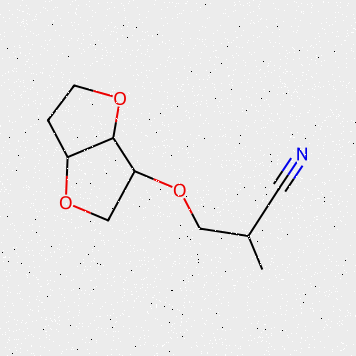 CC(C#N)COC1COC2CCOC21